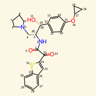 O=C(N[C@H](CN1CCCC1)[C@H](O)c1ccc(OC2CC2)cc1)C(=O)c1cc2ccccc2s1